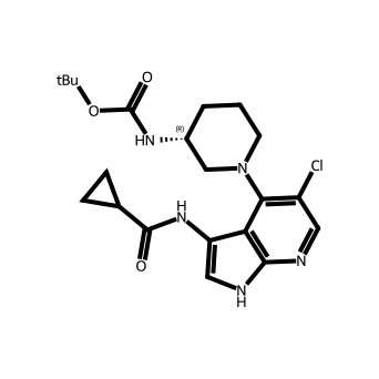 CC(C)(C)OC(=O)N[C@@H]1CCCN(c2c(Cl)cnc3[nH]cc(NC(=O)C4CC4)c23)C1